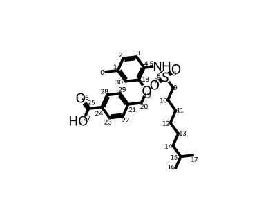 Cc1ccc(NS(=O)(=O)CCCCCCC(C)C)c(OCc2ccc(C(=O)O)cc2)c1